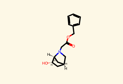 O=C(CN1C[C@H]2C[C@H](O)[C@@H]1C2)OCc1ccccc1